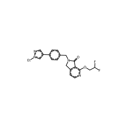 CCn1cc(-c2ccc(CN3Cc4ccnc(OCC(F)F)c4C3=O)cc2)cn1